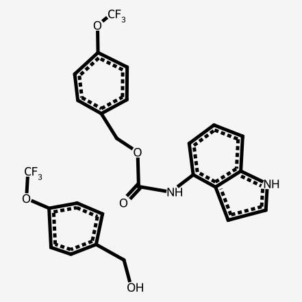 O=C(Nc1cccc2[nH]ccc12)OCc1ccc(OC(F)(F)F)cc1.OCc1ccc(OC(F)(F)F)cc1